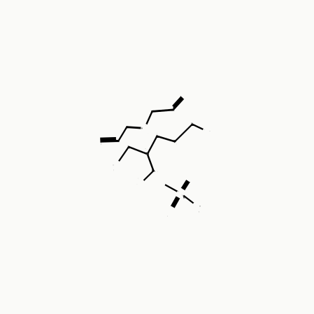 C=CCOCC=C.O=S(=O)(O)O.OCCCC(CO)CO